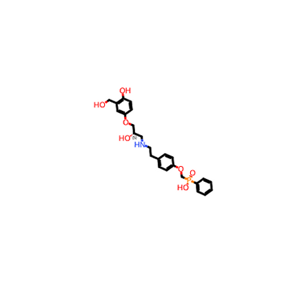 O=P(O)(COc1ccc(CCNC[C@H](O)COc2ccc(O)c(CO)c2)cc1)c1ccccc1